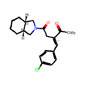 COC(=O)/C(=C/c1ccc(Cl)cc1)CC(=O)N1C[C@H]2CCCC[C@H]2C1